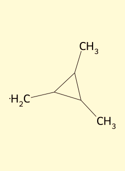 [CH2]C1C(C)C1C